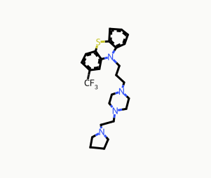 FC(F)(F)c1ccc2c(c1)N(CCCN1CCN(CCN3CCCC3)CC1)c1ccccc1S2